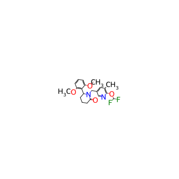 COc1cccc(OC)c1C1CCCC(=O)N1Cc1cnc(OC(F)F)c(C)c1